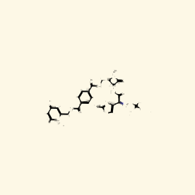 CC(C)(O/N=C(\C(=O)N[C@@H]1C(=O)N(S(=O)(=O)O)[C@@H]1CNC(=O)c1ccc(C(=O)NCc2cc(=O)cc(O)n2O)cc1)c1csc(N)n1)C(=O)O